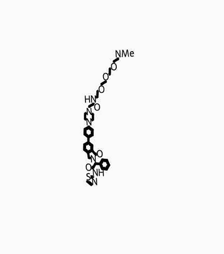 CNCCOCCOCCOCCNC(=O)CN1CCN(c2ccc(-c3ccc4c(c3)C(=O)N(C(C(=O)Nc3nccs3)c3ccccc3)C4)cc2)CC1